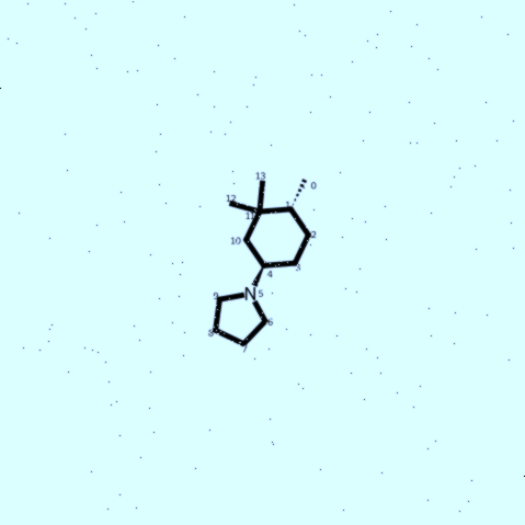 C[C@@H]1CC[C@@H](N2CCCC2)CC1(C)C